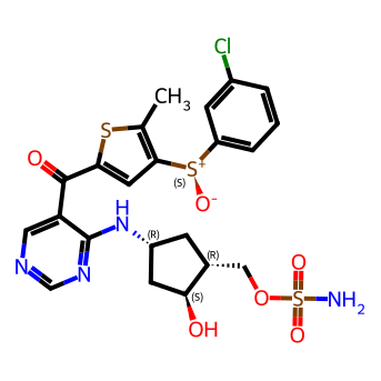 Cc1sc(C(=O)c2cncnc2N[C@@H]2C[C@H](COS(N)(=O)=O)[C@@H](O)C2)cc1[S@+]([O-])c1cccc(Cl)c1